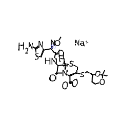 CO/N=C(\C(=O)NC1C(=O)N2C(C(=O)[O-])=C(SCC3CCOC(C)(C)O3)CS[C@@H]12)c1csc(N)n1.[Na+]